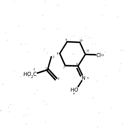 C=C(C)C(=O)O.ON=C1CCCCC1Cl